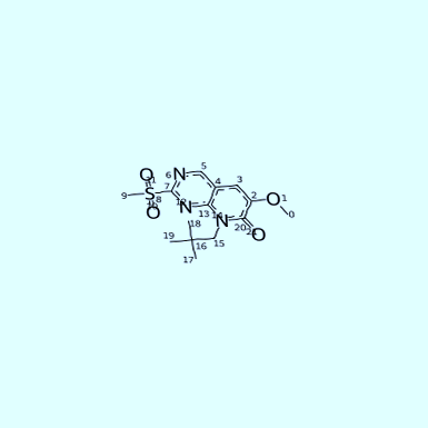 COc1cc2cnc(S(C)(=O)=O)nc2n(CC(C)(C)C)c1=O